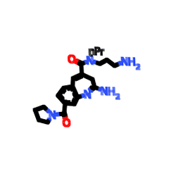 CCCN(CCCN)C(=O)C1=Cc2ccc(C(=O)N3CCCC3)cc2N=C(N)C1